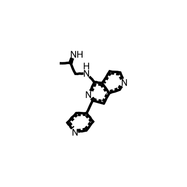 CC(=N)CNc1nc(-c2ccncc2)cc2cnccc12